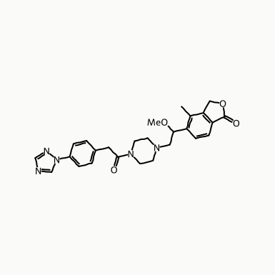 COC(CN1CCN(C(=O)Cc2ccc(-n3cncn3)cc2)CC1)c1ccc2c(c1C)COC2=O